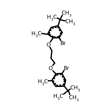 Cc1cc(C(C)(C)C)cc(Br)c1OCCCOc1c(C)cc(C(C)(C)C)cc1Br